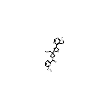 Cc1cccc(C(=O)N2CC(CC#N)(n3cc(-c4ncnc5[nH]ccc45)cn3)C2)n1